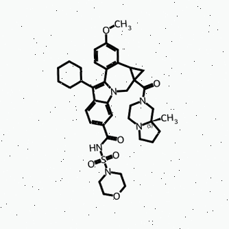 COc1ccc2c(c1)C1CC1(C(=O)N1CCN3CCC[C@@]3(C)C1)Cn1c-2c(C2CCCCC2)c2ccc(C(=O)NS(=O)(=O)N3CCOCC3)cc21